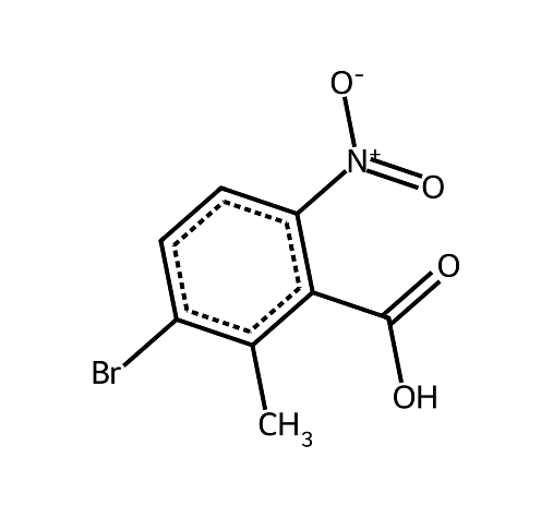 Cc1c(Br)ccc([N+](=O)[O-])c1C(=O)O